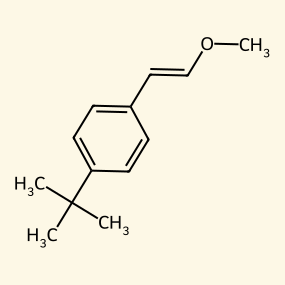 COC=Cc1ccc(C(C)(C)C)cc1